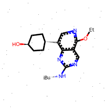 CCOc1ncc([C@H]2CC[C@H](O)CC2)c2nc(N[C@@H](C)CC)ncc12